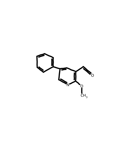 COc1ncc(-c2ccccc2)cc1C=O